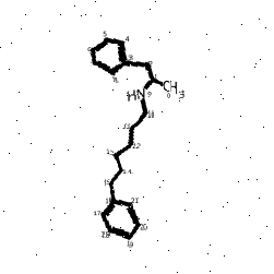 CC(Cc1ccccc1)NCCCCCCc1ccccc1